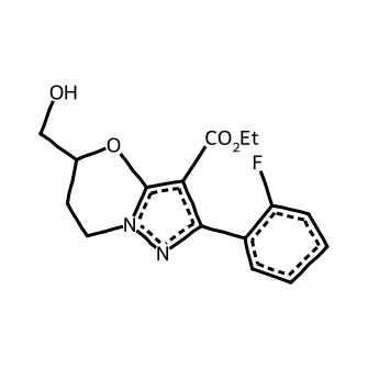 CCOC(=O)c1c(-c2ccccc2F)nn2c1OC(CO)CC2